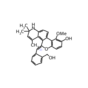 COc1c(O)ccc2c1-c1ccc3c(c1/C(=C/c1ccccc1CO)O2)C(C)=CC(C)(C)N3